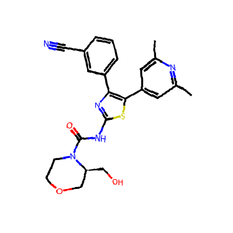 Cc1cc(-c2sc(NC(=O)N3CCOC[C@@H]3CO)nc2-c2cccc(C#N)c2)cc(C)n1